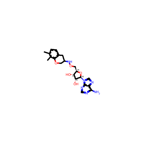 Cc1ccc2c(c1C)OCC(NOC[C@H]1O[C@@H](n3cnc4c(N)ncnc43)[C@H](O)[C@@H]1O)C2